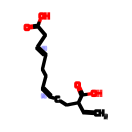 C=CC(CC/C=C\CC/C=C/CC(=O)O)C(=O)O